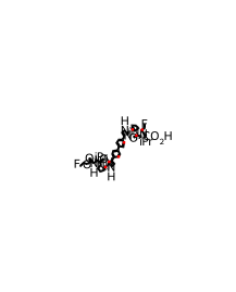 CC(C)[C@H](NC(=O)OCCF)C(=O)N1CCC[C@H]1c1nc(-c2ccc(-c3ccc(-c4c[nH]c([C@@H]5CCCN5C(=O)[C@H](C(C)C)N(CCF)C(=O)O)n4)cc3)cc2)c[nH]1